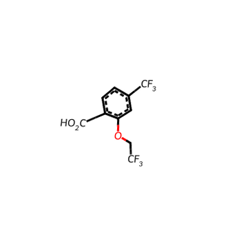 O=C(O)c1ccc(C(F)(F)F)cc1OCC(F)(F)F